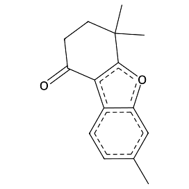 Cc1ccc2c3c(oc2c1)C(C)(C)CCC3=O